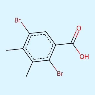 Cc1c(Br)cc(C(=O)O)c(Br)c1C